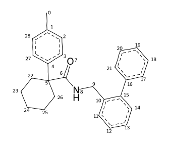 Cc1ccc(C2(C(=O)NCc3ccccc3-c3ccccc3)CCCCC2)cc1